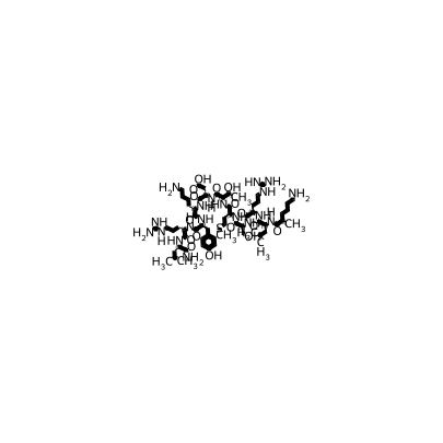 CSCC[C@H](NC(=O)[C@H](CO)NC(=O)[C@@H](CCCNC(=N)N)NC(=O)[C@H](CC(C)C)NC(=O)[C@@H](C)CCCCN)C(=O)N[C@H](C(=O)N[C@@H](CC(=O)O)C(=O)N[C@@H](CCCCN)C(=O)N[C@@H](Cc1ccc(O)cc1)C(=O)N[C@@H](CCCNC(=N)N)C(=O)N[C@@H](CC(C)C)C(N)=O)[C@@H](C)O